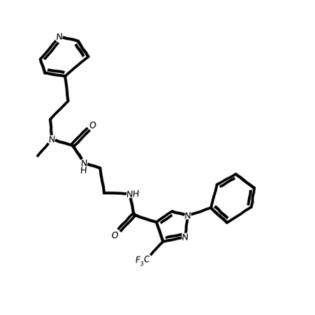 CN(CCc1ccncc1)C(=O)NCCNC(=O)c1cn(-c2ccccc2)nc1C(F)(F)F